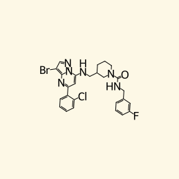 O=C(NCc1cccc(F)c1)N1CCCC(CNc2cc(-c3ccccc3Cl)nc3c(Br)cnn23)C1